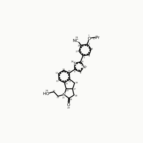 CC(C)Oc1ccc(-c2ncc(-c3cccc4c3CC3CC(=O)N(CCO)C43)s2)cc1C#N